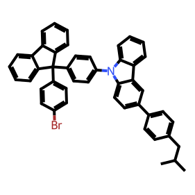 CC(C)Cc1ccc(-c2ccc3c(c2)c2ccccc2n3-c2ccc(C3(c4ccc(Br)cc4)c4ccccc4-c4ccccc43)cc2)cc1